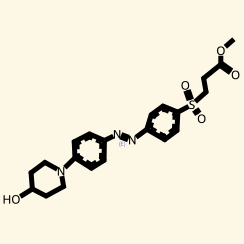 COC(=O)CCS(=O)(=O)c1ccc(/N=N/c2ccc(N3CCC(O)CC3)cc2)cc1